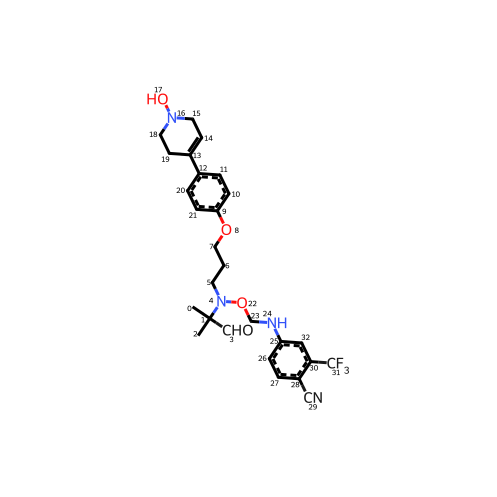 CC(C)(C=O)N(CCCOc1ccc(C2=CCN(O)CC2)cc1)OCNc1ccc(C#N)c(C(F)(F)F)c1